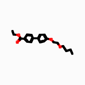 CCCCOCCOc1ccc(-c2ccc(C(=O)OCC)cc2)cc1